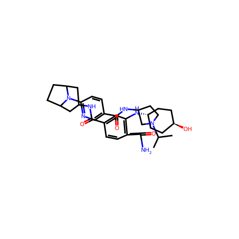 CC(C)N1CCC(NC(=O)c2ccc(N3C4CCC3CC(NC(=O)c3ccc(C(N)=O)c(N[C@H]5CC[C@H](O)CC5)c3)C4)nc2)C1